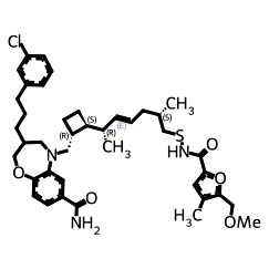 COCc1oc(C(=O)NSC[C@@H](C)C/C=C/[C@H](C)[C@@H]2CC[C@H]2CN2CC(CCCc3cccc(Cl)c3)COc3ccc(C(N)=O)cc32)cc1C